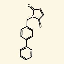 O=C1C=CC(=O)N1Cc1ccc(-c2ccccc2)cc1